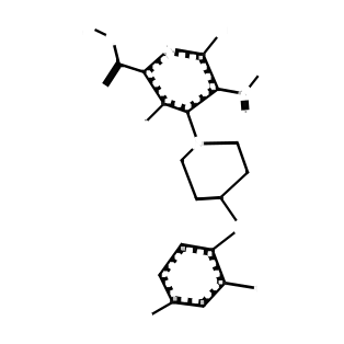 COC(=O)c1nc(Cl)c([N+](=O)[O-])c(N2CCC(Oc3ccc(F)cc3F)CC2)c1Cl